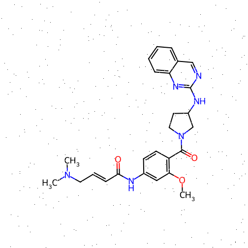 COc1cc(NC(=O)C=CCN(C)C)ccc1C(=O)N1CCC(Nc2ncc3ccccc3n2)C1